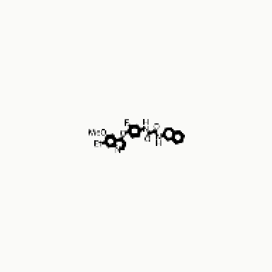 CCc1cc2nccc(Oc3ccc(NC(=O)C(=O)NC4CCc5ccccc5C4)cc3F)c2cc1OC